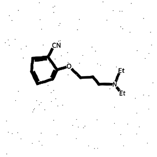 CCN(CC)CCCOc1ccccc1C#N